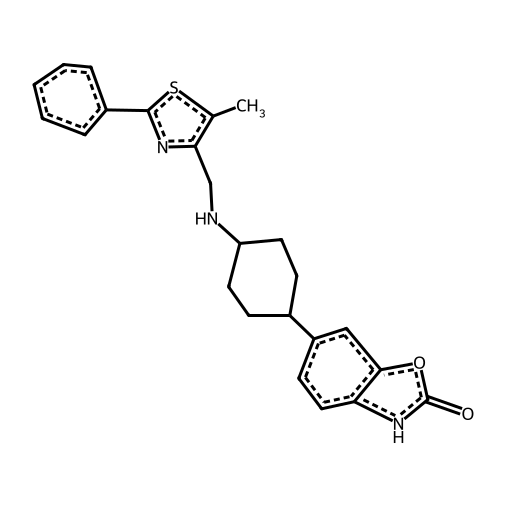 Cc1sc(-c2ccccc2)nc1CNC1CCC(c2ccc3[nH]c(=O)oc3c2)CC1